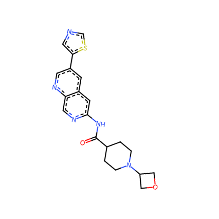 O=C(Nc1cc2cc(-c3cncs3)cnc2cn1)C1CCN(C2COC2)CC1